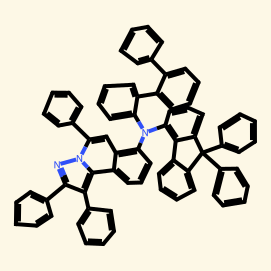 c1ccc(-c2ccccc2-c2ccccc2N(c2cccc3c2-c2ccccc2C3(c2ccccc2)c2ccccc2)c2cccc3c2cc(-c2ccccc2)n2nc(-c4ccccc4)c(-c4ccccc4)c32)cc1